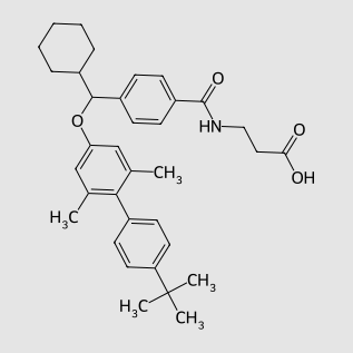 Cc1cc(OC(c2ccc(C(=O)NCCC(=O)O)cc2)C2CCCCC2)cc(C)c1-c1ccc(C(C)(C)C)cc1